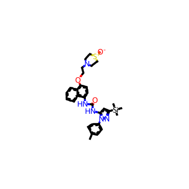 Cc1ccc(-n2nc([Si](C)(C)C)cc2NC(=O)Nc2ccc(OCCN3CC[S+]([O-])CC3)c3ccccc23)cc1